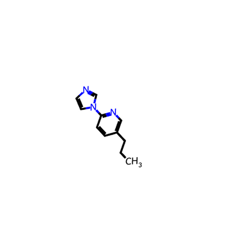 CCCc1ccc(-n2ccnc2)nc1